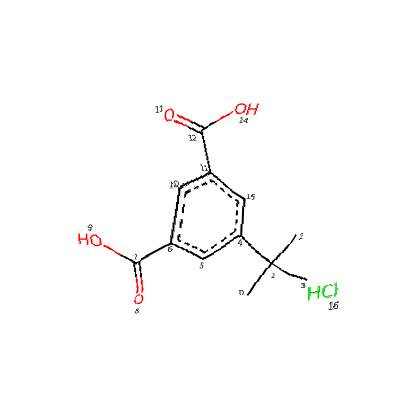 CC(C)(C)c1cc(C(=O)O)cc(C(=O)O)c1.Cl